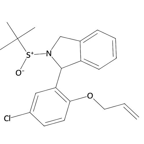 C=CCOc1ccc(Cl)cc1C1c2ccccc2CN1[S+]([O-])C(C)(C)C